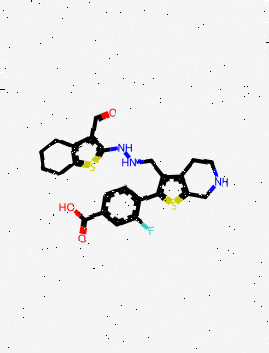 O=Cc1c(NNCc2c(-c3ccc(C(=O)O)cc3F)sc3c2CCNC3)sc2c1CCCC2